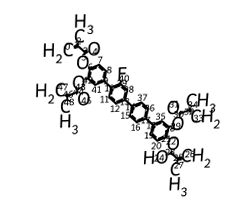 C=C(C)C(=O)Oc1ccc(-c2ccc(-c3ccc(-c4ccc(OC(O)C(=C)C)c(OC(=O)C(=C)C)c4)cc3)cc2F)cc1OC(=O)C(=C)C